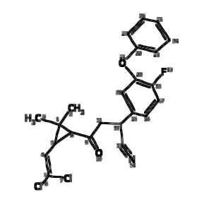 CC1(C)C(C=C(Cl)Cl)C1C(=O)CC(C#N)c1ccc(F)c(Oc2ccccc2)c1